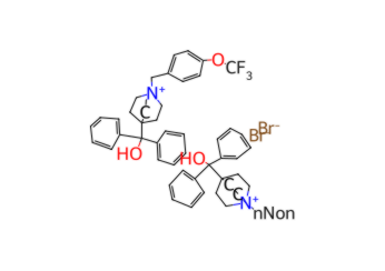 CCCCCCCCC[N+]12CCC(C(O)(c3ccccc3)c3ccccc3)(CC1)CC2.OC(c1ccccc1)(c1ccccc1)C12CC[N+](Cc3ccc(OC(F)(F)F)cc3)(CC1)CC2.[Br-].[Br-]